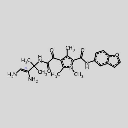 Cc1c(C(=O)C(=O)NC(C)(C)/C(N)=C/N)c(C)n(C)c1C(=O)Nc1ccc2occc2c1